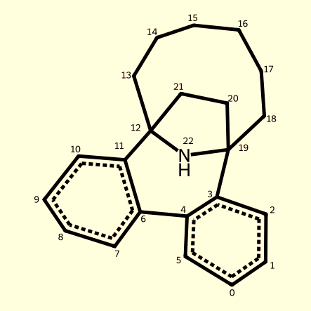 c1ccc2c(c1)-c1ccccc1C13CCCCCCC2(CC1)N3